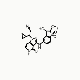 CC1C(O)c2cc(Nc3nn([C@@H](CC#N)C4CC4)c4cc[nH]c(=O)c34)ccc2S1(=O)=O